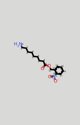 NCCCCCCCCC(=O)OCc1ccccc1[N+](=O)[O-]